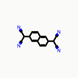 N#CC(C#N)C1C=CC2=CC(C(C#N)C#N)C=CC2=C1